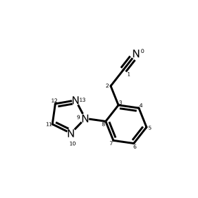 N#CCc1ccccc1-n1nccn1